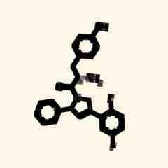 N[C@@H](Cc1ccc(O)cc1)C(=O)N1CC(c2cc(F)ccc2F)=CC1c1ccccc1